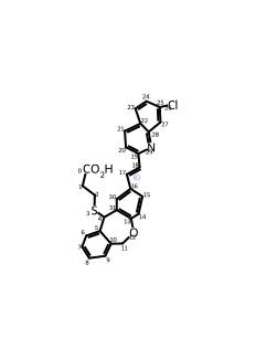 O=C(O)CCSC1c2ccccc2COc2ccc(/C=C/c3ccc4ccc(Cl)cc4n3)cc21